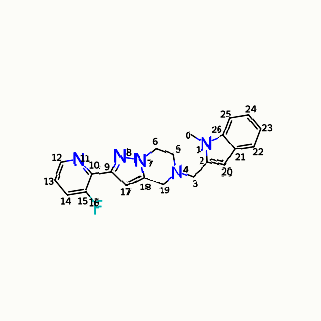 Cn1c(CN2CCn3nc(-c4ncccc4F)cc3C2)cc2ccccc21